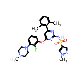 Cc1cccc(C)c1-c1cc(Oc2cccc(N3CCN(C)CC3)c2F)nc(NS(=O)(=O)c2cnn(C)c2)n1